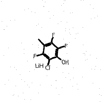 Cc1c(F)c(F)c(O)c(Cl)c1F.[LiH]